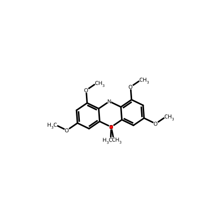 COc1cc(OC)c([N]c2c(OC)cc(OC)cc2OC)c(OC)c1